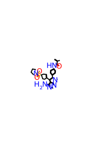 C=C(C)C(=O)Nc1ccc(-c2c(C3=CCC(S(=O)(=O)N4CCCC4)CC3)c3c(N)ncnc3n2C)cc1